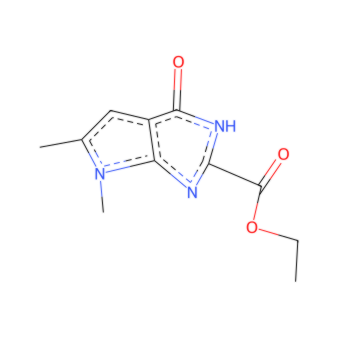 CCOC(=O)c1nc2c(cc(C)n2C)c(=O)[nH]1